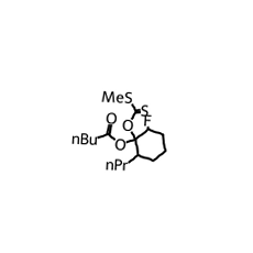 CCCCC(=O)OC1(OC(=S)SC)C(F)CCCC1CCC